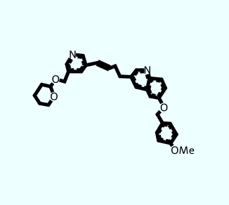 COc1ccc(COc2ccc3ncc(CCC#Cc4cncc(COC5CCCCO5)c4)cc3c2)cc1